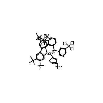 CC(C)(C)c1cc2c(cc1C(C)(C)C)[CH]([Zr+2]([C]1=CC=CC1)=[C](c1cccc(C(Cl)(Cl)Cl)c1)c1cccc(C(Cl)(Cl)Cl)c1)c1cc(C(C)(C)C)c(C(C)(C)C)cc1-2.[Cl-].[Cl-]